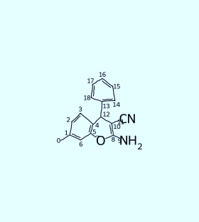 Cc1ccc2c(c1)OC(N)=C(C#N)C2c1ccccc1